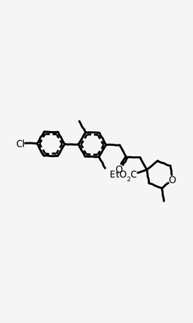 CCOC(=O)C1(CC(=O)Cc2cc(C)c(-c3ccc(Cl)cc3)cc2C)CCOC(C)C1